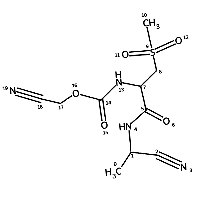 CC(C#N)NC(=O)C(CS(C)(=O)=O)NC(=O)OCC#N